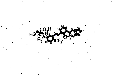 Cc1c(/C=C/c2cc(CNC(C)(CO)C(=O)O)ccc2C(F)(F)F)cccc1-c1cn2ccnc2cn1